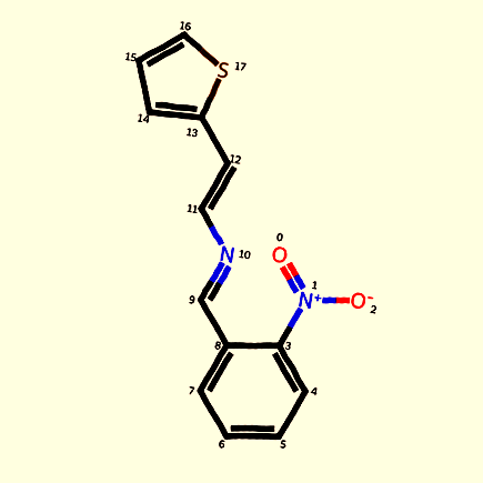 O=[N+]([O-])c1ccccc1/C=N/C=C/c1cccs1